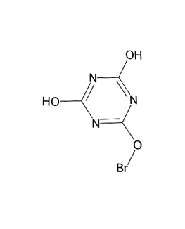 Oc1nc(O)nc(OBr)n1